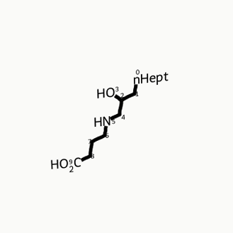 CCCCCCCCC(O)CNCCCC(=O)O